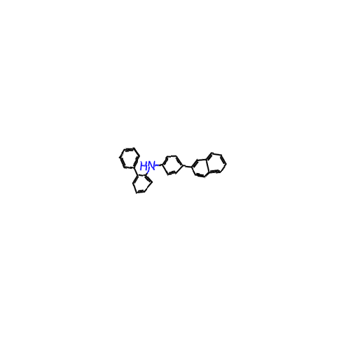 c1ccc(-c2ccccc2Nc2ccc(-c3ccc4ccccc4c3)cc2)cc1